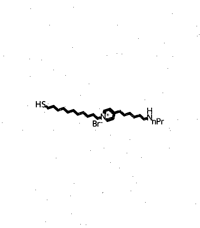 CCCNCCCCCCc1cc[n+](CCCCCCCCCCCS)cc1.[Br-]